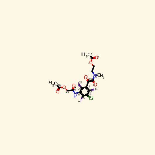 CC(=O)OCCN(C)C(=O)C(=O)c1c(I)c(Cl)c(I)c(NC(=O)COC(C)=O)c1I